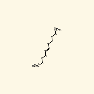 [CH2]CCCCCCCCCCCC/C=C/CCCCCCCCCCCCC[CH2]